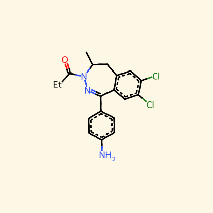 CCC(=O)N1N=C(c2ccc(N)cc2)c2cc(Cl)c(Cl)cc2CC1C